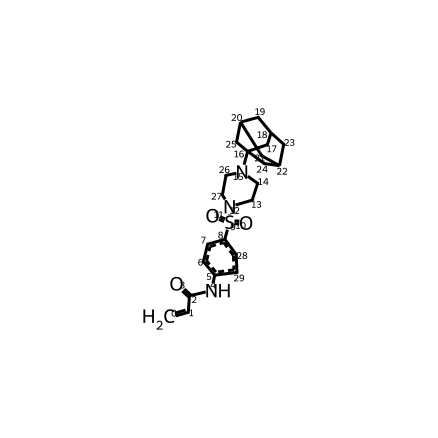 C=CC(=O)Nc1ccc(S(=O)(=O)N2CCN(C34CC5CC(CC(C5)C3)C4)CC2)cc1